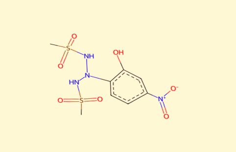 CS(=O)(=O)NN(NS(C)(=O)=O)c1ccc([N+](=O)[O-])cc1O